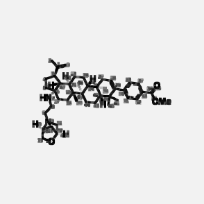 C=C(C)[C@@H]1CC[C@]2(NCCN3C[C@@H]4C[C@H]3CO4)CC[C@]3(C)[C@H](CC[C@@H]4[C@@]5(C)CC=C(c6ccc(C(=O)OC)cc6)C(C)(C)[C@@H]5CC[C@]43C)[C@@H]12